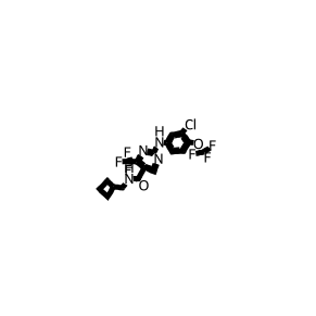 O=C(NCC1CCC1)c1cnc(Nc2ccc(OC(F)(F)F)c(Cl)c2)nc1C(F)(F)F